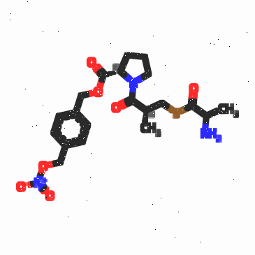 CC(N)C(=O)SC[C@@H](C)C(=O)N1CCC[C@H]1C(=O)OCc1ccc(CO[N+](=O)[O-])cc1